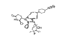 CNC1CCN(c2ccc3c(c2)n(C)c(=O)n3C2CCC(=O)NC2=O)CC1.O=C(O)C(F)(F)F